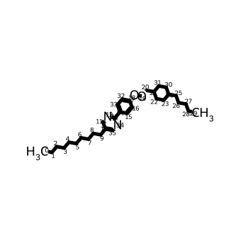 CCCCCCCCCCc1cnc(-c2ccc(OOCC3CCC(CCCCC)CC3)cc2)nc1